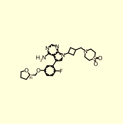 Nc1ncnc2c1c(-c1cc(OC[C@H]3CCCO3)ccc1F)cn2C1CC(CN2CCS(=O)(=O)CC2)C1